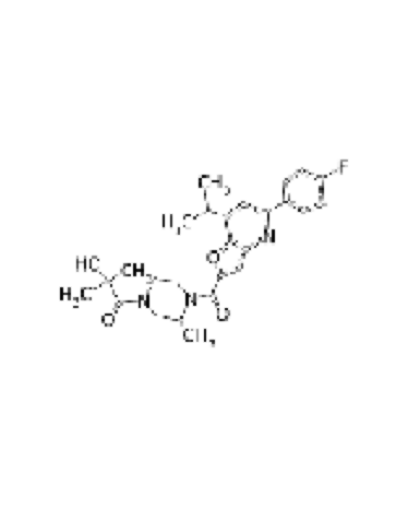 CC(C)c1cc(-c2ccc(F)cc2)nc2cc(C(=O)N3CCN(C(=O)C(C)(C)O)C[C@H]3C)oc12